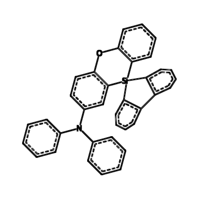 c1ccc(N(c2ccccc2)c2ccc3c(c2)[Si]2(c4ccccc4O3)c3ccccc3-c3ccccc32)cc1